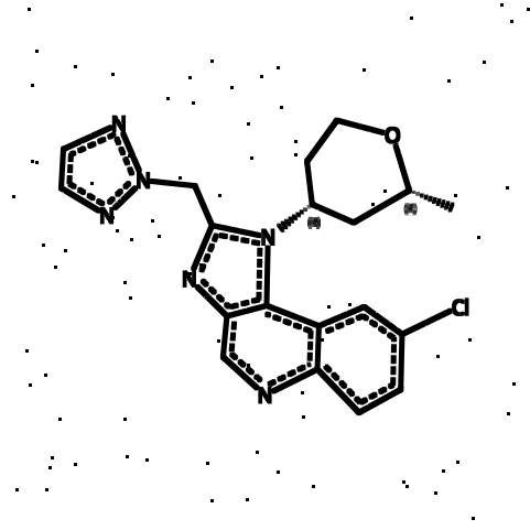 C[C@@H]1C[C@H](n2c(Cn3nccn3)nc3cnc4ccc(Cl)cc4c32)CCO1